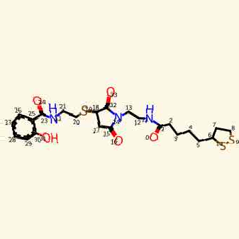 O=C(CCCCC1CCSS1)NCCN1C(=O)CC(SCCNC(=O)c2ccccc2O)C1=O